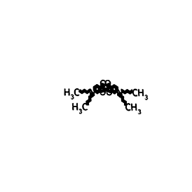 CCCCCCN(CCCCCC)c1ccc2c(c1)O/C(=C1\Oc3cc(N(CCCCCC)CCCCCC)ccc3C1=O)C2=O